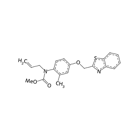 C=CCN(C(=O)OC)c1ccc(OCc2nc3ccccc3s2)cc1C